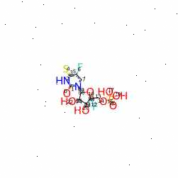 O=c1[nH]c(=S)c(F)cn1[C@@H]1O[C@](F)(COP(=O)(O)O)[C@@H](O)[C@H]1O